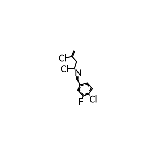 C=C(Cl)CC(Cl)/N=C/c1ccc(Cl)c(F)c1